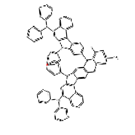 Cc1cc2c3c(c1)Oc1cc4c5c6ccccc6c(N(c6ccccc6)c6ccccc6)cc5n(-c5ccccc5)c4cc1B3c1cc3c(cc1O2)c1c2ccccc2c(N(c2ccccc2)c2ccccc2)cc1n3-c1ccccc1